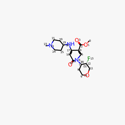 COC(=O)c1cn([C@@H]2CCOC[C@H]2F)c(=O)cc1NC1CCN(C)CC1